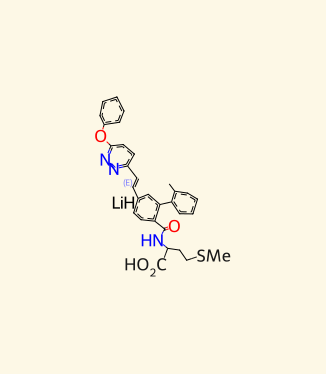 CSCCC(NC(=O)c1ccc(/C=C/c2ccc(Oc3ccccc3)nn2)cc1-c1ccccc1C)C(=O)O.[LiH]